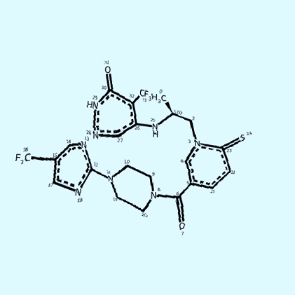 C[C@@H](Cn1cc(C(=O)N2CCN(c3ncc(C(F)(F)F)cn3)CC2)ccc1=S)Nc1cn[nH]c(=O)c1C(F)(F)F